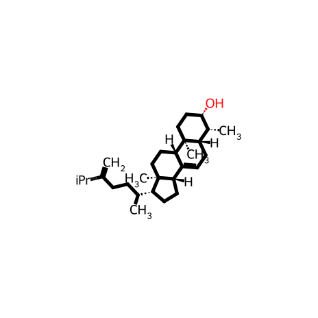 C=C(CCC(C)[C@H]1CC[C@H]2C3=CC[C@H]4[C@@H](C)[C@@H](O)CC[C@]4(C)[C@H]3CC[C@]12C)C(C)C